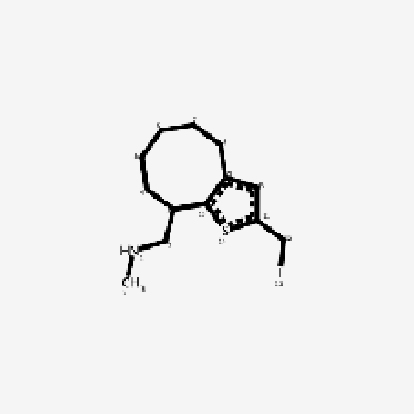 CNCC1CCCCCc2cc(CI)sc21